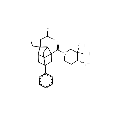 CCC1(CC(F)F)C2CC3(c4ccccc4)CC1C(C(=S)N1CC[C@H](N)C(C)(C)C1)(C2)C3